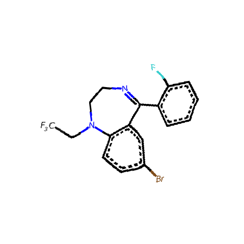 Fc1ccccc1C1=NCCN(CC(F)(F)F)c2ccc(Br)cc21